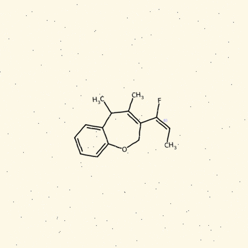 C/C=C(/F)C1=C(C)C(C)c2ccccc2OC1